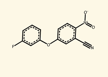 N#Cc1cc(Oc2cccc(F)c2)ccc1[N+](=O)[O-]